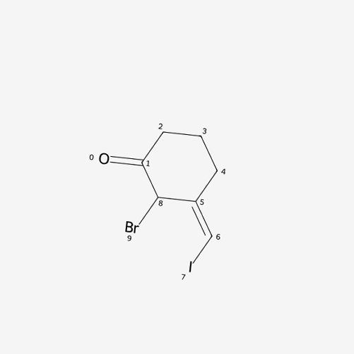 O=C1CCCC(=CI)C1Br